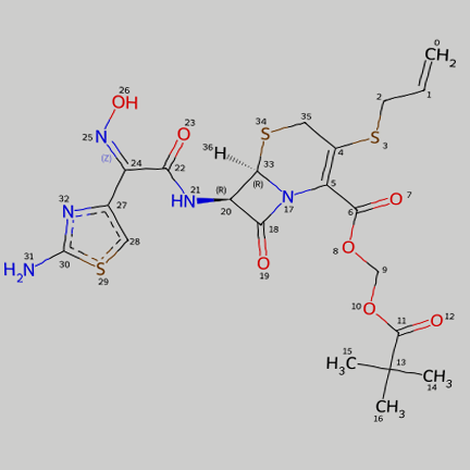 C=CCSC1=C(C(=O)OCOC(=O)C(C)(C)C)N2C(=O)[C@@H](NC(=O)/C(=N\O)c3csc(N)n3)[C@H]2SC1